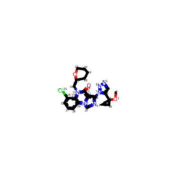 COC1(c2cnnn2-c2ncn3c2c(=O)n(CC2CCCCO2)c2c(Cl)cccc23)CC1